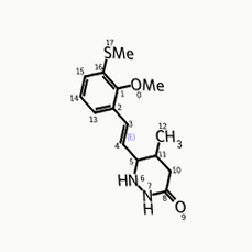 COc1c(/C=C/C2NNC(=O)CC2C)cccc1SC